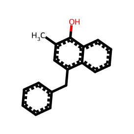 Cc1cc(Cc2ccccc2)c2ccccc2c1O